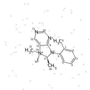 Cc1ccccc1N1c2ncncc2[N+](C)(I)[C@@H]1C